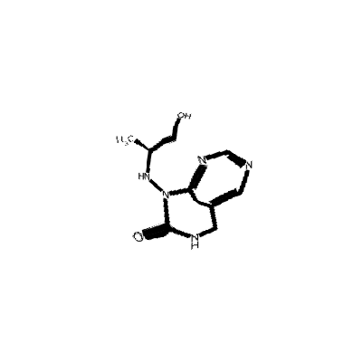 C[C@@H](CO)NN1C(=O)NCc2cncnc21